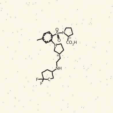 Cc1ccc(S(=O)(=O)N2CCC[C@H]2C(=O)O)c(N2CC[C@@H](CCNC3CCC(F)(F)CC3)C2)c1